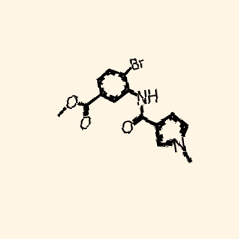 COC(=O)c1ccc(Br)c(NC(=O)c2ccn(C)c2)c1